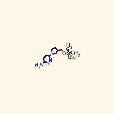 CC(C)(C)[Si](C)(C)OCC1CCN(c2ccc(N)nn2)C1